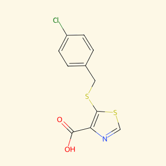 O=C(O)c1ncsc1SCc1ccc(Cl)cc1